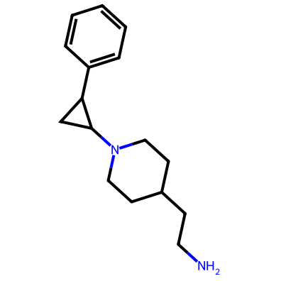 NCCC1CCN(C2CC2c2ccccc2)CC1